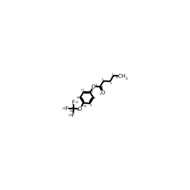 CCCCC(=O)Oc1ccc(OC(F)(F)F)cc1